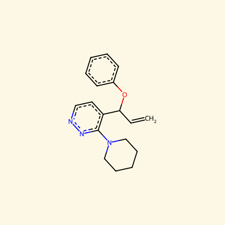 C=CC(Oc1ccccc1)c1ccnnc1N1CCCCC1